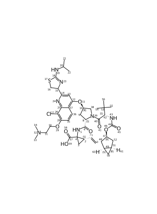 C=C[C@@H]1CC1(NC(=O)[C@@H]1C[C@@H](Oc2cc(C3CSC(NC(C)C)=N3)nc3c(Cl)c(OCCN(C)C)ccc23)CN1C(=O)[C@@H](NC(=O)O[C@@H]1C[C@@H]2C[C@@H]2C1)C(C)(C)C)C(=O)O